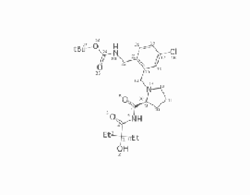 CCC(O)(CC)C(=O)NC(=O)[C@@H]1CCCN1Cc1cc(Cl)ccc1CNC(=O)OC(C)(C)C